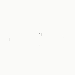 Cc1ccc2sn(-c3ccc(Cl)cc3)c(=O)c2c1